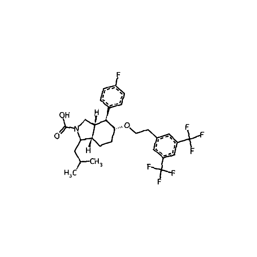 C[C](C)CC1[C@H]2CC[C@@H](OCCc3cc(C(F)(F)F)cc(C(F)(F)F)c3)[C@H](c3ccc(F)cc3)[C@H]2CN1C(=O)O